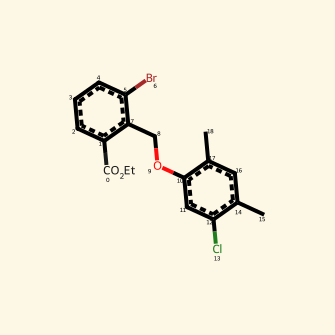 CCOC(=O)c1cccc(Br)c1COc1cc(Cl)c(C)cc1C